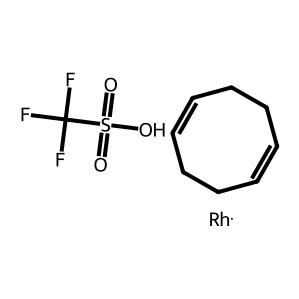 C1=CCCC=CCC1.O=S(=O)(O)C(F)(F)F.[Rh]